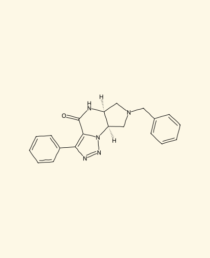 O=C1N[C@H]2CN(Cc3ccccc3)C[C@H]2n2nnc(-c3ccccc3)c21